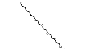 NCCOCCOCCOCCOCCCCCCF